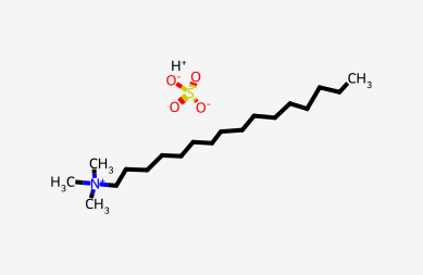 CCCCCCCCCCCCCCCC[N+](C)(C)C.O=S(=O)([O-])[O-].[H+]